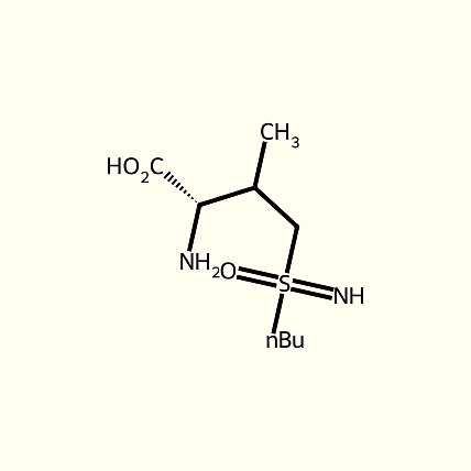 CCCCS(=N)(=O)CC(C)[C@H](N)C(=O)O